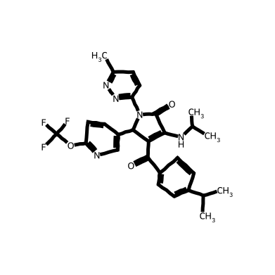 Cc1ccc(N2C(=O)C(NC(C)C)=C(C(=O)c3ccc(C(C)C)cc3)C2c2ccc(OC(F)(F)F)nc2)nn1